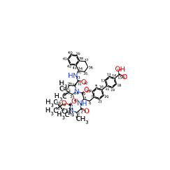 CC(C(=O)NC(Cc1ccc(-c2ccc(C(=O)O)cc2)cc1)C(=O)N1C[Si](C)(C)CC1C(=O)N[C@@H]1CCCc2ccccc21)N(C)C(=O)OC(C)(C)C